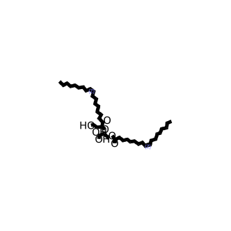 CCCCCCCC/C=C\CCCCCCCC(=O)OCC(CO)OC(C(=O)CCCCCCC/C=C\CCCCCCCC)C(O)CO